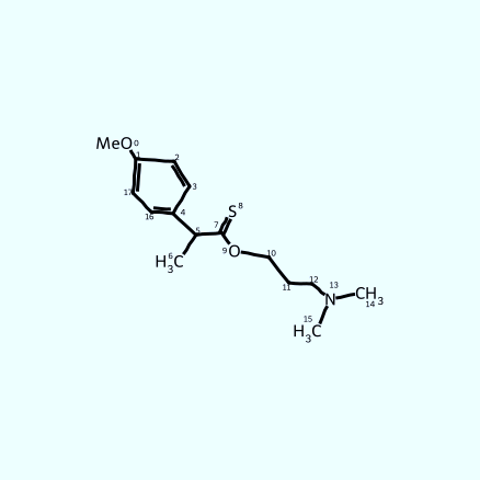 COc1ccc(C(C)C(=S)OCCCN(C)C)cc1